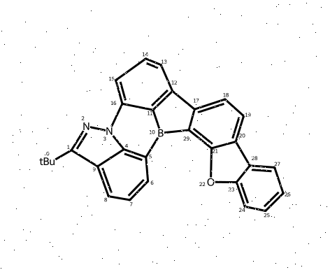 CC(C)(C)c1nn2c3c(cccc13)B1c3c(cccc3-2)-c2ccc3c(oc4ccccc43)c21